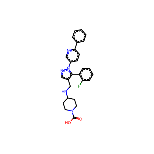 O=C(O)N1CCC(NCc2cnn(-c3ccc(-c4ccccc4)nc3)c2-c2ccccc2F)CC1